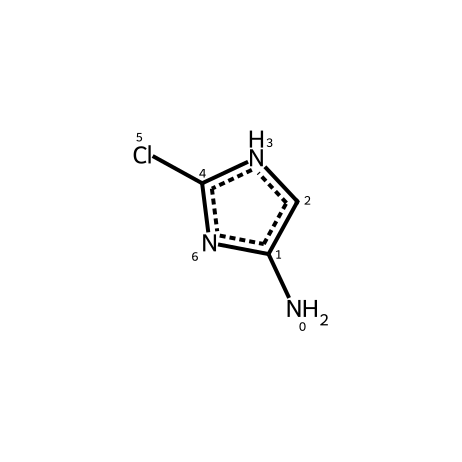 Nc1c[nH]c(Cl)n1